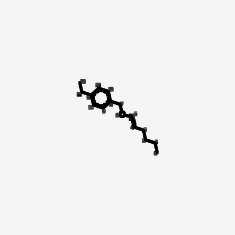 CCCCC=NOCc1ccc(CC)cc1